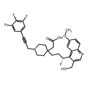 COc1ccc2ncc(CO)c([C@H](F)CCC3(CC(=O)O)CCN(CC#Cc4cc(F)c(F)c(F)c4)CC3)c2c1